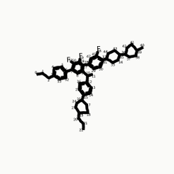 CCCc1ccc(-c2cc(C(C)c3ccc(C4CCC(CCC)CC4)cc3)c(-c3ccc(C4CCC(C5CCC(C)CC5)CC4)c(F)c3)c(F)c2F)cc1